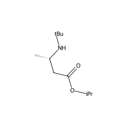 CC(C)OC(=O)C[C@H](C)NC(C)(C)C